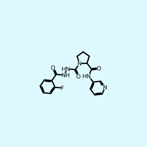 O=C(NNC(=O)N1CCCC1C(=O)Nc1cccnc1)c1ccccc1F